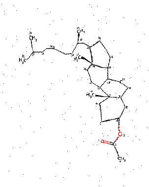 CC(=O)OC1CC[C@@]2(C)C(CCC3C2CC[C@@]2(C)C3CCC2[C@H](C)CCCC(C)C)C1